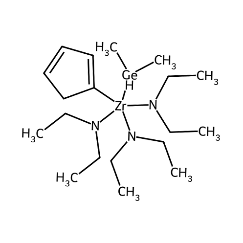 CC[N](CC)[Zr]([C]1=CC=CC1)([N](CC)CC)([N](CC)CC)[GeH]([CH3])[CH3]